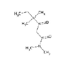 CC[N+](C)(C)C(=O)CC(=O)N(C)C